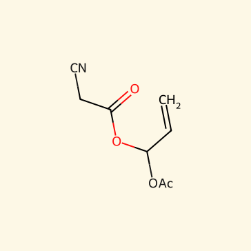 C=CC(OC(C)=O)OC(=O)CC#N